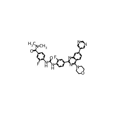 CN(C)C(=O)c1ccc(NC(=O)Nc2ccc(-c3nc(N4CCOCC4)c4ccc(-c5cncnc5)cc4n3)cc2F)c(F)c1